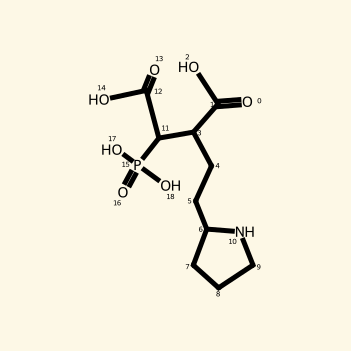 O=C(O)C(CCC1CCCN1)C(C(=O)O)P(=O)(O)O